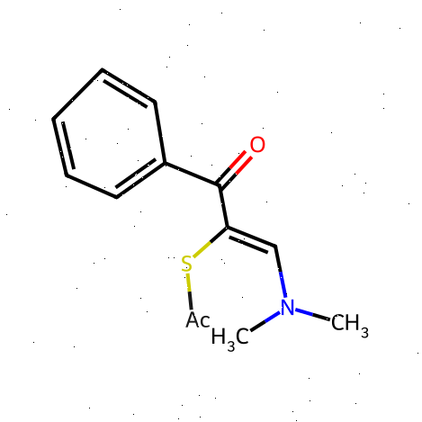 CC(=O)S/C(=C\N(C)C)C(=O)c1ccccc1